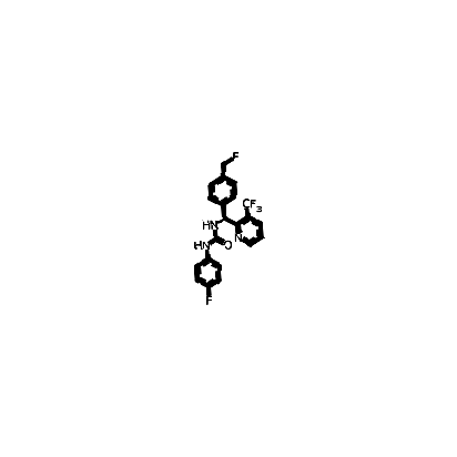 O=C(Nc1ccc(F)cc1)N[C@@H](c1ccc(CF)cc1)c1ncccc1C(F)(F)F